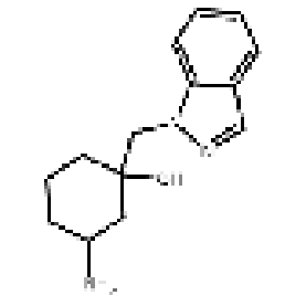 NC1CCCC(O)(Cn2ncc3ccccc32)C1